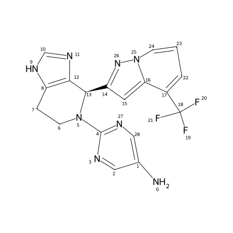 Nc1cnc(N2CCc3[nH]cnc3[C@H]2c2cc3c(C(F)(F)F)cccn3n2)nc1